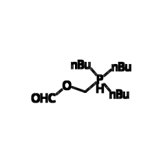 CCCC[PH](CCCC)(CCCC)COC=O